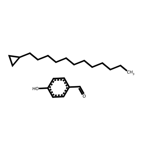 CCCCCCCCCCCCC1CC1.O=Cc1ccc(O)cc1